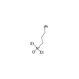 CC[N+]([O-])(CC)CCCC(C)C